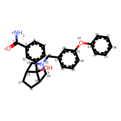 NC(=O)c1cccc(C2(O)C3CCC2CN(Cc2cccc(Oc4ccccc4)c2)C3)c1